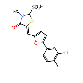 CCN1C(=O)C(=Cc2ccc(-c3ccc(C)c(Cl)c3)o2)SC1S(=O)(=O)O